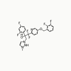 CN1C=CN(CC(O)(c2ccc(F)cc2F)C(F)(F)c2ccc(OCc3cccc(F)c3F)cn2)N1